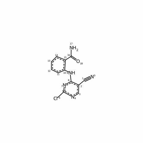 N#Cc1cnc(Cl)nc1Nc1ccccc1C(N)=O